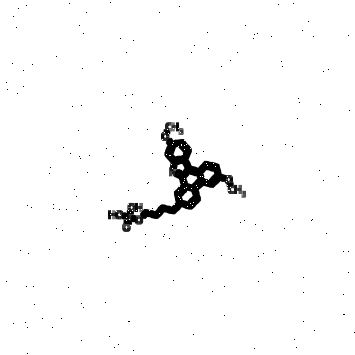 COc1ccc2c(c1)N=c1c-2c2ccc(OC)cc2c2c1=CC(CCCCOP(=O)(O)O)C=C2